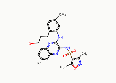 COc1ccc(CCC[O-])c(Nc2nc3ccccc3nc2NS(=O)(=O)c2c(C)noc2C)c1.[K+]